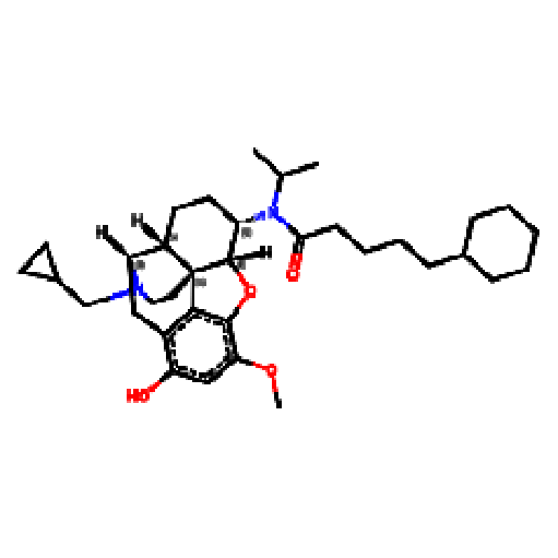 COc1cc(O)c2c3c1O[C@H]1[C@@H](N(C(=O)CCCCC4CCCCC4)C(C)C)CC[C@H]4[C@@H](C2)N(CC2CC2)CC[C@@]341